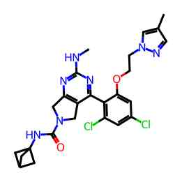 CNc1nc2c(c(-c3c(Cl)cc(Cl)cc3OCCn3cc(C)cn3)n1)CN(C(=O)NC13CC(C1)C3)C2